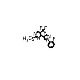 CSc1ncc(C(F)(F)F)c(-c2cnn(-c3ccccc3F)c2)n1